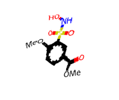 COC(=O)c1ccc(OC)c(S(=O)(=O)NO)c1